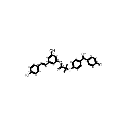 CC(C)(Oc1ccc(C(=O)c2ccc(Cl)cc2)cc1)C(=O)Oc1cc(O)cc(C=Cc2ccc(O)cc2)c1